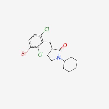 O=C1C(Cc2c(Cl)ccc(Br)c2Cl)CCN1C1CCCCC1